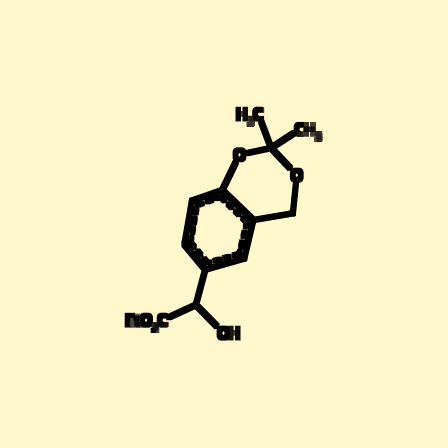 CCOC(=O)C(O)c1ccc2c(c1)COC(C)(C)O2